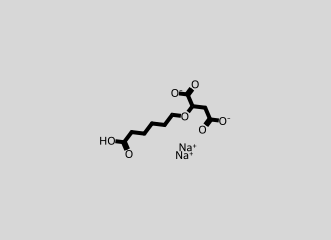 O=C([O-])CC(OCCCCCC(=O)O)C(=O)[O-].[Na+].[Na+]